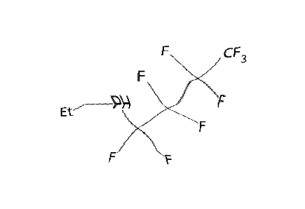 CCPC(F)(F)C(F)(F)C(F)(F)C(F)(F)F